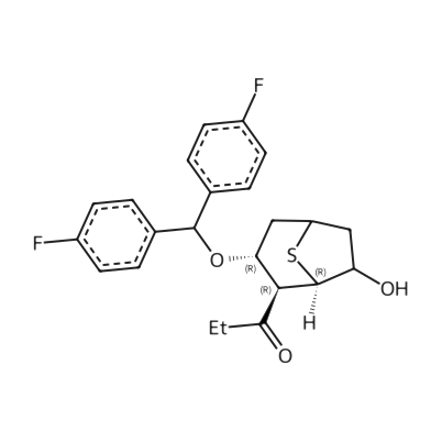 CCC(=O)[C@H]1[C@H](OC(c2ccc(F)cc2)c2ccc(F)cc2)CC2CC(O)[C@@H]1S2